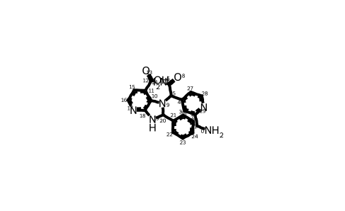 NCc1cc(C(C(N)=O)N2c3c(C(=O)O)ccnc3NC2c2ccccc2)ccn1